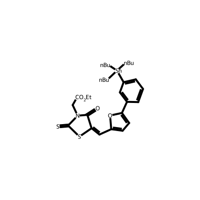 CCC[CH2][Sn]([CH2]CCC)([CH2]CCC)[c]1cccc(-c2ccc(C=C3SC(=S)N(CC(=O)OCC)C3=O)o2)c1